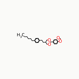 CCCCCCc1ccc(CCC2COC(c3ccc4c(c3)OCO4)OC2)cc1